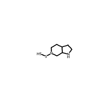 SSN1CCC2CCNC2C1